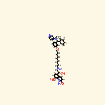 O=C(O)N(C1CN2CCC1CC2)C(c1cccc(OCCCCCCCCCNCC(O)c2ccc(O)c3[nH]c(=O)ccc23)c1)C1CCCCC1